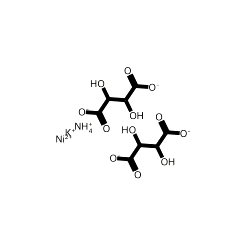 O=C([O-])C(O)C(O)C(=O)[O-].O=C([O-])C(O)C(O)C(=O)[O-].[K+].[NH4+].[Ni+2]